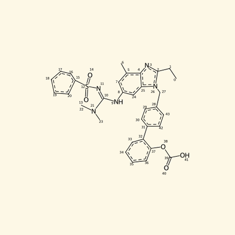 CCc1nc2c(C)cc(NC(=NS(=O)(=O)c3ccccc3)N(C)C)cc2n1Cc1ccc(-c2ccccc2OC(=O)O)cc1